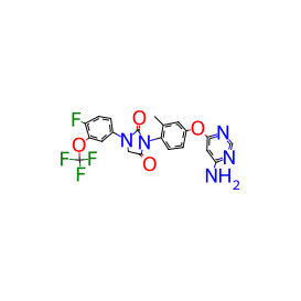 Cc1cc(Oc2cc(N)ncn2)ccc1N1C(=O)CN(c2ccc(F)c(OC(F)(F)F)c2)C1=O